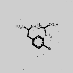 CC(N)C(=O)O.NC(Cc1ccc(Br)cc1)C(=O)O